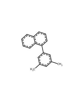 Cc1[c]c(-c2cccc3ccccc23)cc(C)c1